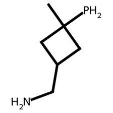 CC1(P)CC(CN)C1